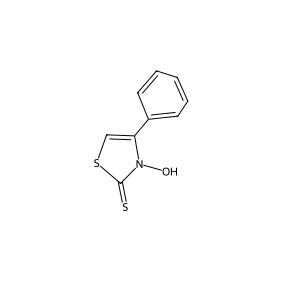 On1c(-c2ccccc2)csc1=S